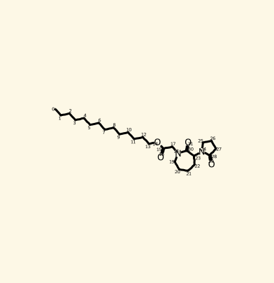 CCCCCCCCCCCCCCOC(=O)CN1CCCCC(N2CCCC2=O)C1=O